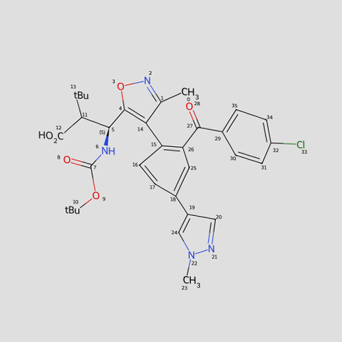 Cc1noc([C@@H](NC(=O)OC(C)(C)C)C(C(=O)O)C(C)(C)C)c1-c1ccc(-c2cnn(C)c2)cc1C(=O)c1ccc(Cl)cc1